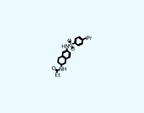 CCC(=O)NC1CCc2cc(NS(=O)(=O)c3ccc(C(C)C)cc3)ccc2C1